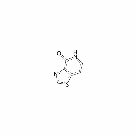 O=c1[nH]ccc2scnc12